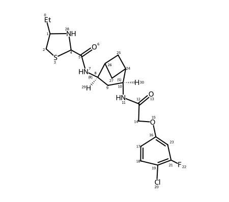 CCC1CSC(C(=O)N[C@@H]2C[C@H](NC(=O)COc3ccc(Cl)c(F)c3)C3CC2C3)N1